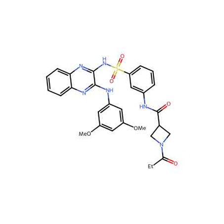 CCC(=O)N1CC(C(=O)Nc2cccc(S(=O)(=O)Nc3nc4ccccc4nc3Nc3cc(OC)cc(OC)c3)c2)C1